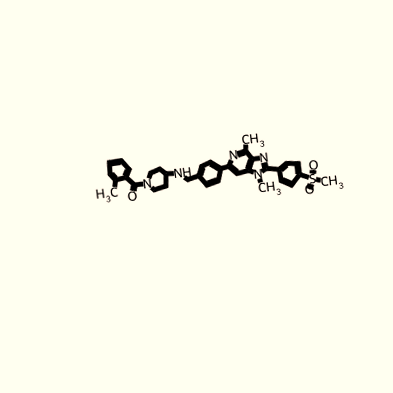 Cc1ccccc1C(=O)N1CCC(NCc2ccc(-c3cc4c(nc(-c5ccc(S(C)(=O)=O)cc5)n4C)c(C)n3)cc2)CC1